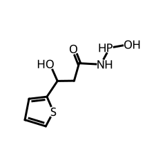 O=C(CC(O)c1cccs1)NPO